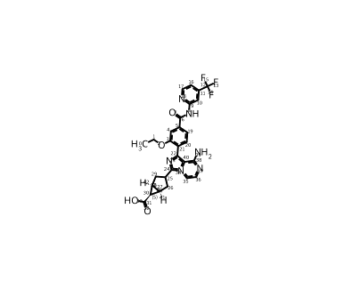 CCOc1cc(C(=O)Nc2cc(C(F)(F)F)ccn2)ccc1-c1nc(C2C[C@@H]3[C@H](C2)[C@@H]3C(=O)O)n2ccnc(N)c12